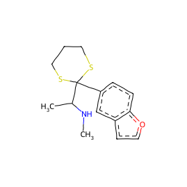 CNC(C)C1(c2ccc3occc3c2)SCCCS1